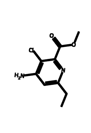 CCc1cc(N)c(Cl)c(C(=O)OC)n1